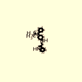 CN(C)C(c1ccccc1)C1CCC(NCCc2c[nH]c3ccccc23)CC1